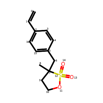 C=Cc1ccc(CC2(C)CCOS2(=O)=O)cc1